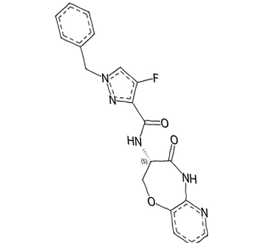 O=C(N[C@H]1COc2cccnc2NC1=O)c1nn(Cc2ccccc2)cc1F